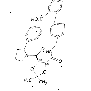 CC1(C)O[C@@H](C(=O)NCc2ccc(-c3ccccc3C(=O)O)cc2)[C@H](C(=O)N2CCCC2c2ccccc2)O1